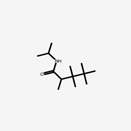 CC(C)NC(=O)C(C)C(C)(C)C(C)(C)C